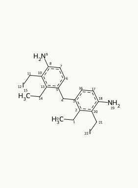 CCc1c(Cc2ccc(N)c(CI)c2CC)ccc(N)c1CI